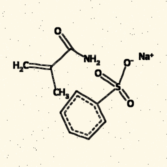 C=C(C)C(N)=O.O=S(=O)([O-])c1ccccc1.[Na+]